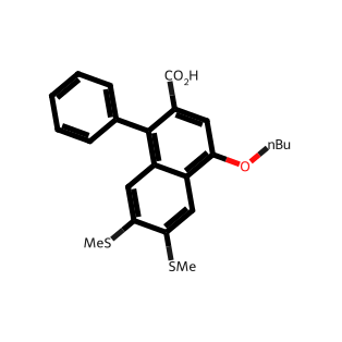 CCCCOc1cc(C(=O)O)c(-c2ccccc2)c2cc(SC)c(SC)cc12